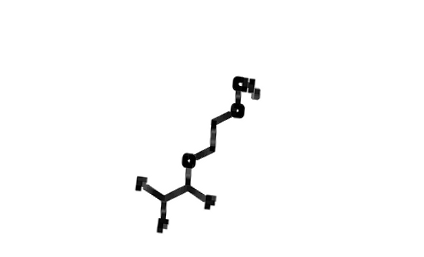 COCCOC(F)C(F)F